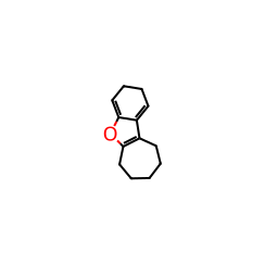 C1=c2oc3c(c2=CCC1)CCCCC3